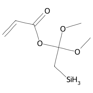 C=CC(=O)OC(C[SiH3])(OC)OC